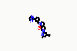 C#Cc1cc(C)nc(N2CCC3(CCCN(Cc4cccc(-c5ncccn5)c4)C3=O)CC2)c1